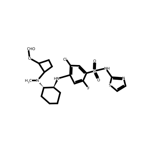 CN(C1CCC1OC=O)[C@H]1CCCC[C@@H]1Nc1cc(F)c(S(=O)(=O)Nc2nccs2)cc1Cl